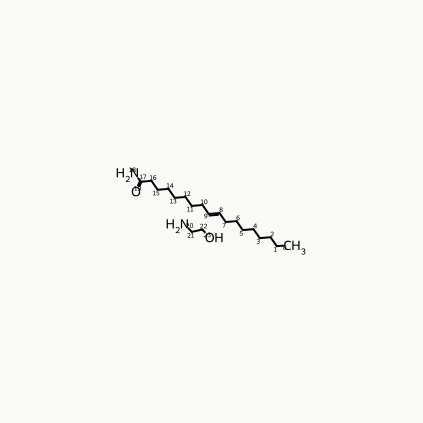 CCCCCCCCC=CCCCCCCCC(N)=O.NCCO